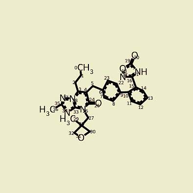 CCCc1c(Cc2ccc(-c3ccccc3-c3noc(=O)[nH]3)cc2)c(=O)n(CC2(C)COC2)c2nc(C)nn12